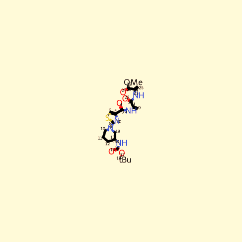 C=C(NC(=O)c1csc(N2CCC[C@@H](NC(=O)OC(C)(C)C)C2)n1)C(=O)NC(=C)C(=O)OC